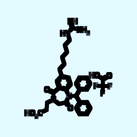 N=C(N)NCCCCCCc1ccc2c(c1)C(=O)N(CCC(=O)O)CC(=O)N2C(c1ccccc1)c1ccccc1.O=C(O)C(F)(F)F